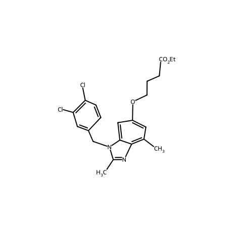 CCOC(=O)CCCOc1cc(C)c2nc(C)n(Cc3ccc(Cl)c(Cl)c3)c2c1